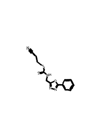 N#CCCSC(=S)NCc1nnc(-c2ccccc2)o1